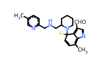 CC1=C2N=CC(C=O)=C2C(F)(N2CCCCC2CNCc2ccc(C)cn2)C=C1